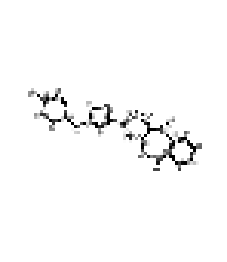 CN1C(=O)[C@@H](NC(=O)n2cc(Cc3ccc(F)cc3)cn2)CNc2ccccc21